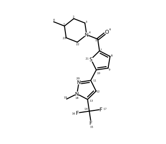 CC1CCN(C(=O)c2ccc(-c3cc(C(F)(F)F)n(C)n3)s2)CC1